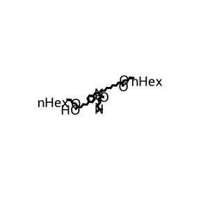 CCCCCC/C=C\COC(=O)CCCCCCCN(Cc1ccc(CCCC(O)OC/C=C\CCCCCC)cc1)C(=O)SCCN(C)C